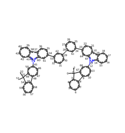 CC1(C)c2ccccc2-c2ccc(-n3c4ccccc4c4ccc(-c5cccc(-c6cccc(-c7ccc8c9ccccc9n(-c9ccc%10c(c9)C(C)(C)c9ccccc9-%10)c8c7)c6)c5)cc43)cc21